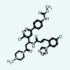 COC(=O)Nc1ccc(-c2cc(C(CC(=O)N3CCN(C)CC3)NC(=O)/C=C/c3cc(Cl)ccc3-n3cnnn3)c(Cl)nn2)cc1